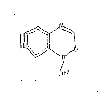 OB1OC=Nc2cc#ccc21